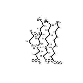 CC(C)CCCCCSCCC(=O)[O-].CC(C)CCCCCSCCC(=O)[O-].CC(C)CCCCCSCCC(=O)[O-].CCOC(=O)C[CH2][Sn+3]